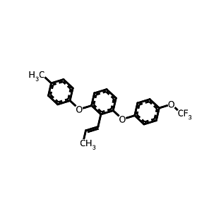 C/C=C/c1c(Oc2ccc(C)cc2)cccc1Oc1ccc(OC(F)(F)F)cc1